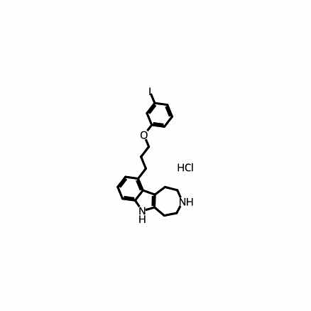 Cl.Ic1cccc(OCCCc2cccc3[nH]c4c(c23)CCNCC4)c1